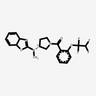 CN(C1=NC2C=CC=CC2O1)[C@@H]1CCN(C(=O)c2ccccc2OC(F)(F)C(F)F)C1